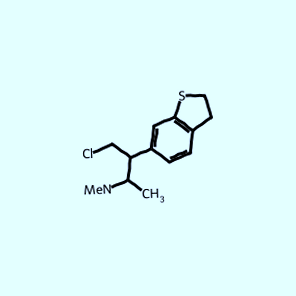 CNC(C)C(CCl)c1ccc2c(c1)SCC2